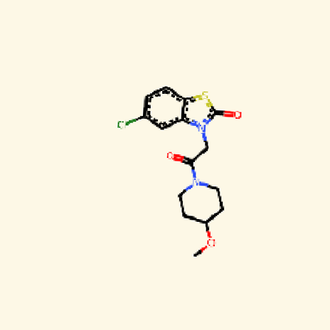 COC1CCN(C(=O)Cn2c(=O)sc3ccc(Cl)cc32)CC1